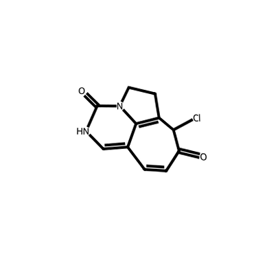 O=C1C=CC2=CNC(=O)N3CCC(=C23)C1Cl